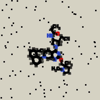 C=CC(=O)NC1CN(c2nc(OC[C@]3(C)CCCN3C)nc3c2CCN(c2cccc4cccc(C)c24)C3)C[C@@H]1CC#N